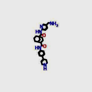 NCc1ccc(NC(=O)C23CCCC(C2)C(C(=O)Nc2ccc(C4=CCNCC4)cc2)CC3)nc1